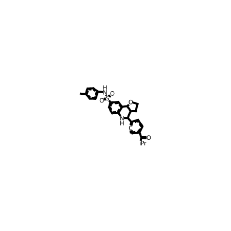 Cc1ccc(NS(=O)(=O)c2ccc3c(c2)C2OCCC2C(c2ccc(C(=O)C(C)C)cc2)N3)cc1